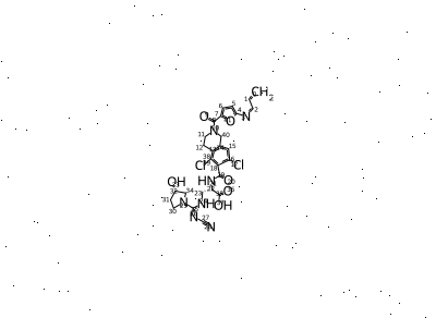 C=C/C=N\c1ccc(C(=O)N2CCc3c(cc(Cl)c(C(=O)N[C@@H](CN/C(=N\C#N)N4CC[C@H](O)C4)C(=O)O)c3Cl)C2)o1